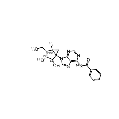 O=C(Nc1ncnc2c1ncn2C12C[C@H]1[C@H](CO)[C@@H](O)[C@H]2O)c1ccccc1